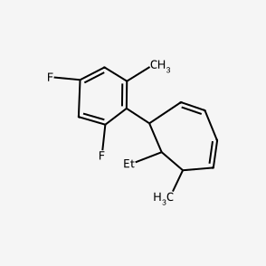 CCC1C(C)C=CC=CC1c1c(C)cc(F)cc1F